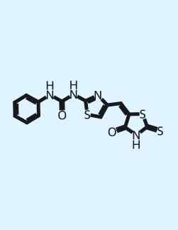 O=C(Nc1ccccc1)Nc1nc(C=C2SC(=S)NC2=O)cs1